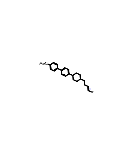 COc1ccc(-c2ccc(C3CCC(CC/C=C/F)CC3)cc2)cc1